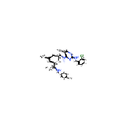 CCCC1C[C@@H](CNc2nc(NCc3ccccc3Cl)ncc2C#N)C[C@H]([C@H](C)NC[C@H]2CC[C@@H](C#N)CC2)C1